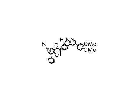 COc1ccc(-c2cnc(N)c(-c3ccc(NC(=O)c4cn(CCF)cc(-c5ccccc5)c4=O)cc3)c2)cc1OC